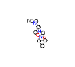 N#Cc1cccc(-c2ccc3c(c2)c2ccccc2n3-c2cccc3c2C(=O)N(c2cccc(-c4ccccc4)c2-c2ccccc2)C3=O)n1